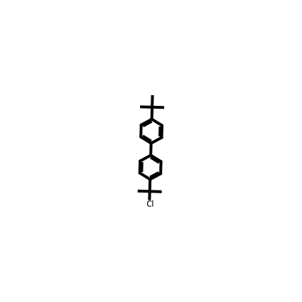 CC(C)(C)c1ccc(-c2ccc(C(C)(C)Cl)cc2)cc1